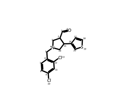 O=CC1CN(Cc2ccc(Cl)cc2Cl)CC1c1ccsc1